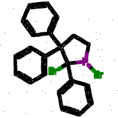 BrP1CCC(c2ccccc2)(c2ccccc2)C1(Br)c1ccccc1